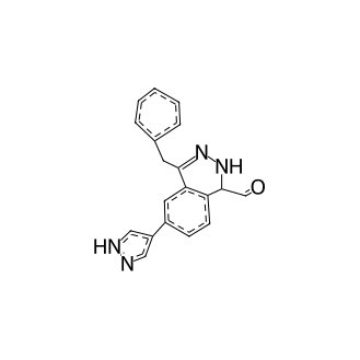 O=CC1NN=C(Cc2ccccc2)c2cc(-c3cn[nH]c3)ccc21